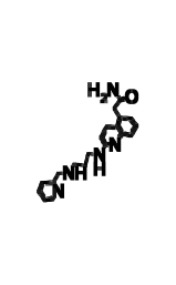 NC(=O)Cc1cccc2nc(NCCCNCc3ccccn3)ccc12